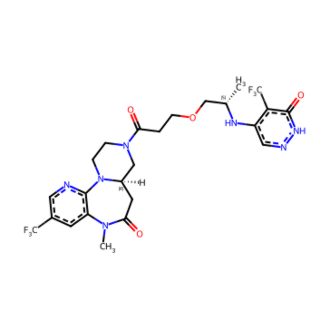 C[C@@H](COCCC(=O)N1CCN2c3ncc(C(F)(F)F)cc3N(C)C(=O)C[C@@H]2C1)Nc1cn[nH]c(=O)c1C(F)(F)F